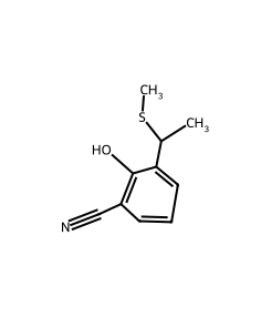 CSC(C)c1cccc(C#N)c1O